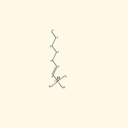 CCCCC/C=C/[PH](C)(C)C